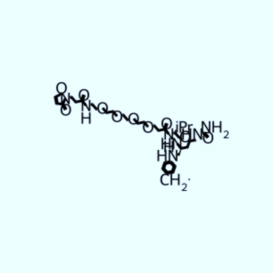 [CH2]c1ccc(NC[C@H](CCCNC(N)=O)NC(=O)[C@@H](NC(=O)CCOCCOCCOCCOCCNC(=O)CCN2C(=O)C=CC2=O)C(C)C)cc1